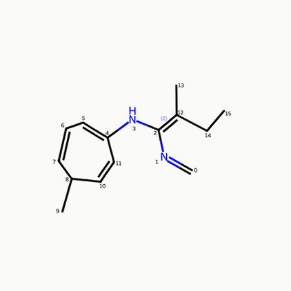 C=N/C(NC1=CC=CC(C)C=C1)=C(/C)CC